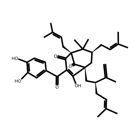 C=C(C)[C@@H](CC=C(C)C)C[C@@]12C[C@H](CC=C(C)C)C(C)(C)[C@@](CC=C(C)C)(C(=O)C(C(=O)c3ccc(O)c(O)c3)=C1O)C2=O